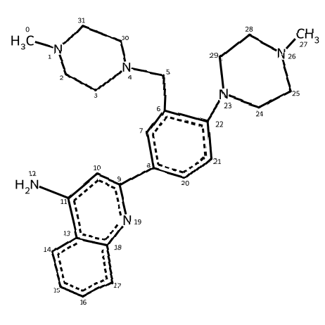 CN1CCN(Cc2cc(-c3cc(N)c4ccccc4n3)ccc2N2CCN(C)CC2)CC1